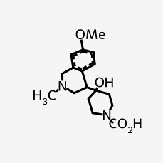 COc1ccc2c(c1)CN(C)CC2C1(O)CCN(C(=O)O)CC1